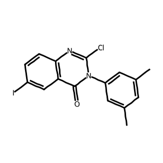 Cc1cc(C)cc(-n2c(Cl)nc3ccc(I)cc3c2=O)c1